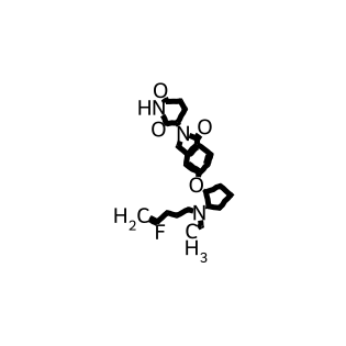 C=C(F)CCCN(CC)[C@H]1CCC[C@@H]1Oc1ccc2c(c1)CN(C1CCC(=O)NC1=O)C2=O